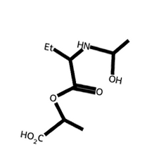 CCC(NC(C)O)C(=O)OC(C)C(=O)O